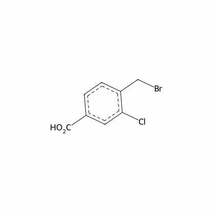 O=C(O)c1ccc(CBr)c(Cl)c1